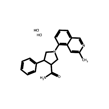 Cc1cc2c(N3CC(C(N)=O)C(c4ccccc4)C3)cccc2cn1.Cl.Cl